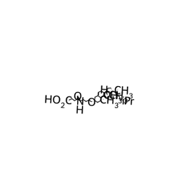 CC(C)CCC[C@@H](C)[C@H]1CC[C@@]2(C)[C@@H]3CC=C4C[C@@H](OCCCNC(=O)CCC(=O)O)CC[C@]4(C)C3CC[C@]12C